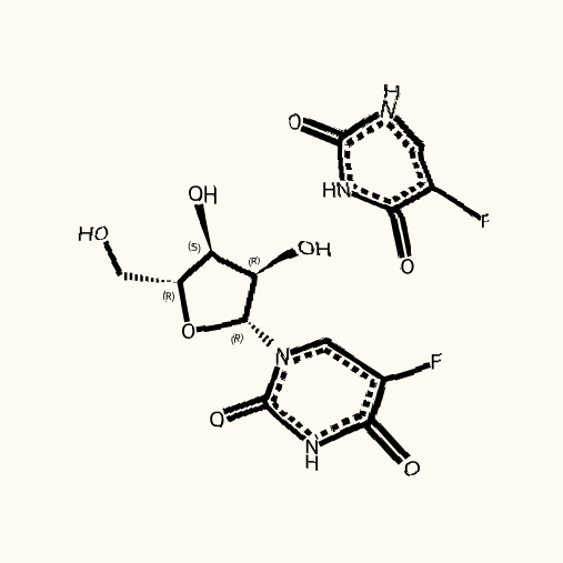 O=c1[nH]c(=O)n([C@@H]2O[C@H](CO)[C@@H](O)[C@H]2O)cc1F.O=c1[nH]cc(F)c(=O)[nH]1